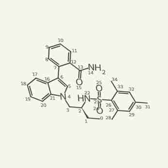 CC[C@@H](Cn1cc(-c2ccccc2C(N)=O)c2ccccc21)NS(=O)(=O)c1c(C)cc(C)cc1C